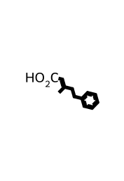 C/C(=C\C(=O)O)CCc1ccccc1